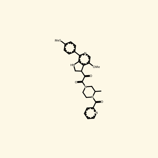 COc1cnc(-c2ccc(SC)cc2)c2c1C(C(=O)C(=O)N1CCN(C(=O)c3ccccn3)C(C)C1)CN2